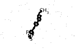 CCCC1=Cc2cc(-c3ccc(C#Cc4cc(F)c(N=C=S)c(F)c4)cc3)ccc2C1